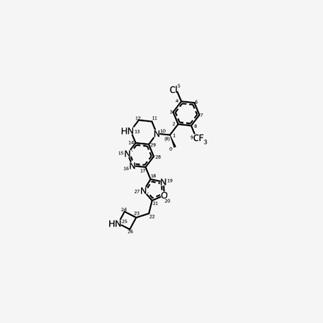 C[C@H](c1cc(Cl)ccc1C(F)(F)F)N1CCNc2nnc(-c3noc(CC4CNC4)n3)cc21